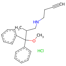 C#CCCNCC(C)C(OC)(c1ccccc1)c1ccccc1.Cl